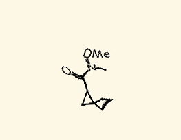 CON(C)C(=O)C1CC12CC2